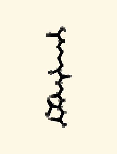 N=C(N)NCCCC[C@H](N)C(=O)NCC(=O)N[C@@H](CC(=O)O)C(=O)O